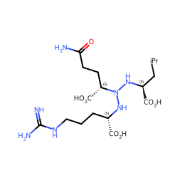 CC(C)C[C@H](NN(N[C@@H](CCCNC(=N)N)C(=O)O)[C@@H](CCC(N)=O)C(=O)O)C(=O)O